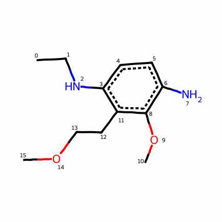 CCNc1ccc(N)c(OC)c1CCOC